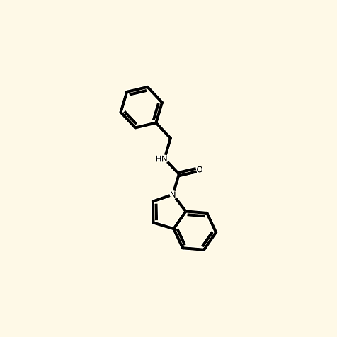 O=C(NCc1ccccc1)n1ccc2ccccc21